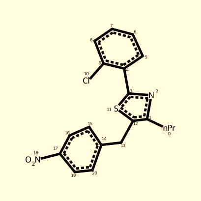 CCCc1nc(-c2ccccc2Cl)sc1Cc1ccc([N+](=O)[O-])cc1